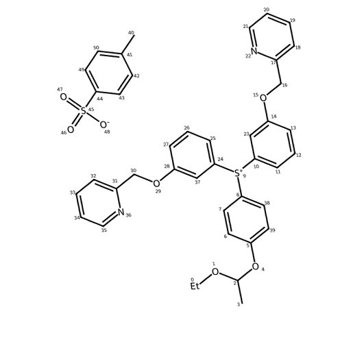 CCOC(C)Oc1ccc([S+](c2cccc(OCc3ccccn3)c2)c2cccc(OCc3ccccn3)c2)cc1.Cc1ccc(S(=O)(=O)[O-])cc1